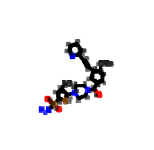 COc1ccc(C(=O)N2CCN(c3sc(S(N)(=O)=O)cc3[N+](=O)[O-])CC2)cc1C#Cc1ccccn1